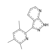 Cc1cc(C)c(-c2n[nH]c3ncccc23)nc1C